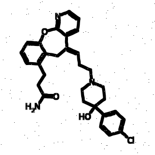 NC(=O)CCc1cccc2c1CC(=CCCN1CCC(O)(c3ccc(Cl)cc3)CC1)c1cccnc1O2